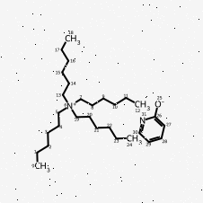 CCCCCC[N+](CCCCCC)(CCCCCC)CCCCCC.[O-]c1ccccn1